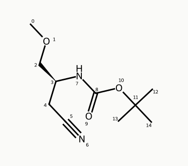 COC[C@H](CC#N)NC(=O)OC(C)(C)C